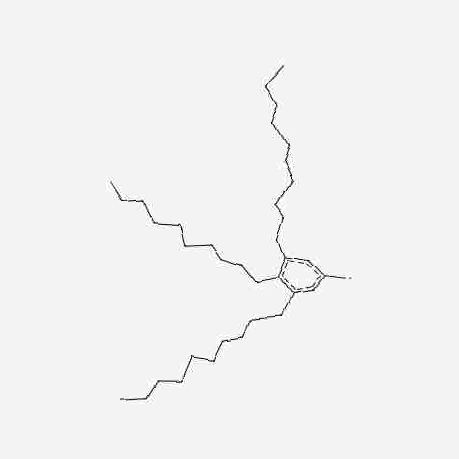 [CH2]c1cc(CCCCCCCCCC)c(CCCCCCCCCC)c(CCCCCCCCCC)c1